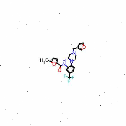 Cc1ccc(C(=O)Nc2cc(C(F)(F)F)ccc2N2CCN(Cc3ccoc3)CC2)o1